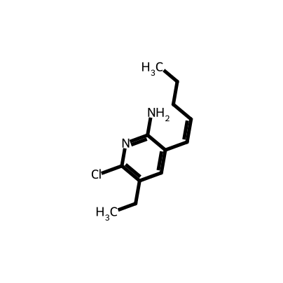 CCC/C=C\c1cc(CC)c(Cl)nc1N